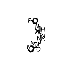 CC12CN(c3cccc(F)c3)C[C@H]1[C@@H]2c1noc(Cn2cnc3ncccc3c2=O)n1